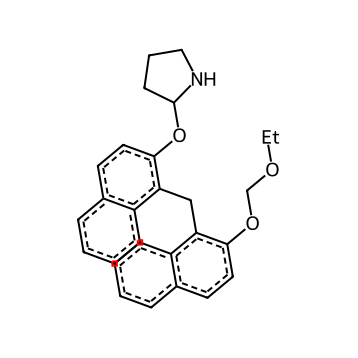 CCOCOc1ccc2ccccc2c1Cc1c(OC2CCCN2)ccc2ccccc12